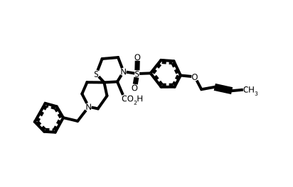 CC#CCOc1ccc(S(=O)(=O)N2CCSC3(CCN(Cc4ccccc4)CC3)C2C(=O)O)cc1